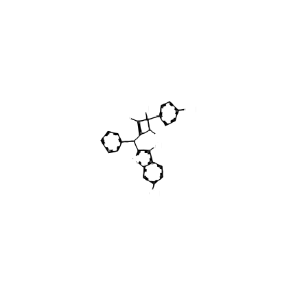 Cc1ccc(C2(C)C(O)=C(C(c3ccccc3)c3[nH]c4cc(C)ccc4c3C)C2O)cc1